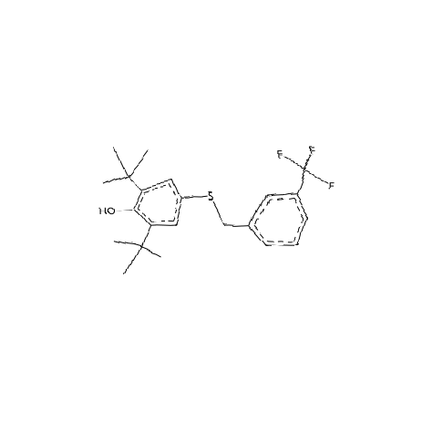 CC(C)(C)c1cc(SCc2cccc(C(F)(F)F)c2)cc(C(C)(C)C)c1O